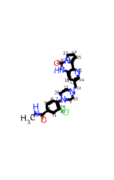 CNC(=O)c1ccc(N2CCN(Cc3cnc4c(c3)[nH]c(=O)n3cccc43)CC2)c(Cl)c1